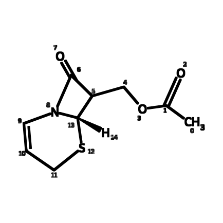 CC(=O)OCC1C(=O)N2C=CCS[C@@H]12